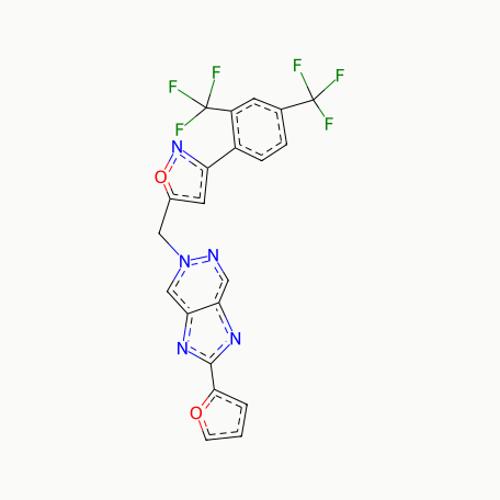 FC(F)(F)c1ccc(-c2cc(Cn3cc4nc(-c5ccco5)nc-4cn3)on2)c(C(F)(F)F)c1